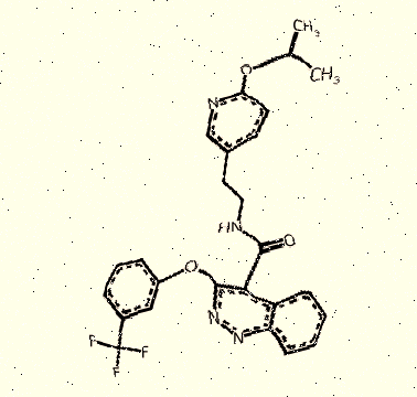 CC(C)Oc1ccc(CCNC(=O)c2c(Oc3cccc(C(F)(F)F)c3)nnc3ccccc23)cn1